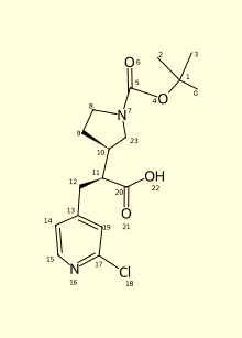 CC(C)(C)OC(=O)N1CC[C@H]([C@H](Cc2ccnc(Cl)c2)C(=O)O)C1